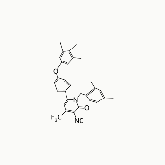 [C-]#[N+]c1c(C(F)(F)F)cc(-c2ccc(Oc3cc(C)c(C)c(C)c3)cc2)n(Cc2ccc(C)cc2C)c1=O